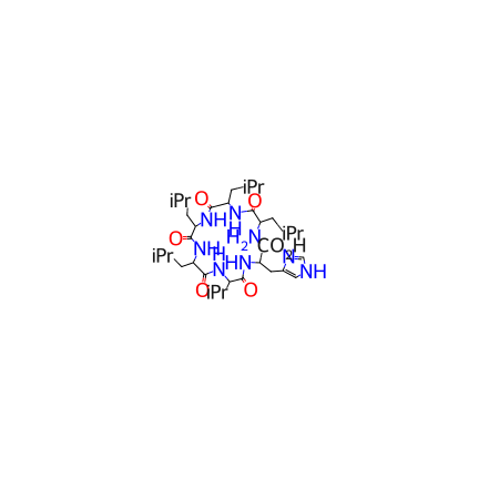 CC(C)CC(N)C(=O)NC(CC(C)C)C(=O)NC(CC(C)C)C(=O)NC(CC(C)C)C(=O)NC(C(=O)NC(Cc1c[nH]cn1)C(=O)O)C(C)C